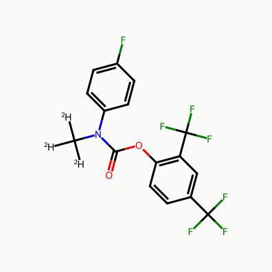 [2H]C([2H])([2H])N(C(=O)Oc1ccc(C(F)(F)F)cc1C(F)(F)F)c1ccc(F)cc1